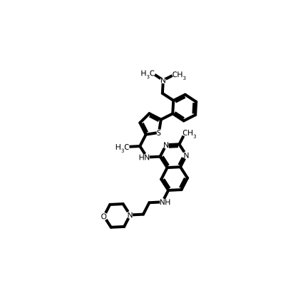 Cc1nc(NC(C)c2ccc(-c3ccccc3CN(C)C)s2)c2cc(NCCN3CCOCC3)ccc2n1